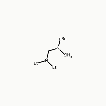 CCCCN([SiH3])CN(CC)CC